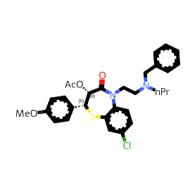 CCCN(CCN1C(=O)[C@@H](OC(C)=O)[C@@H](c2ccc(OC)cc2)Sc2cc(Cl)ccc21)Cc1ccccc1